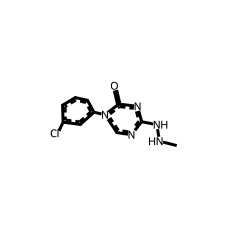 CNNc1ncn(-c2cccc(Cl)c2)c(=O)n1